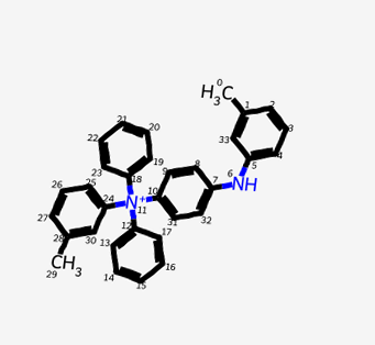 Cc1cccc(Nc2ccc([N+](c3ccccc3)(c3ccccc3)c3cccc(C)c3)cc2)c1